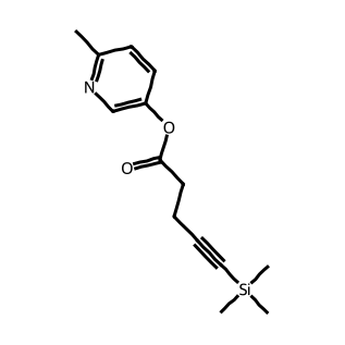 Cc1ccc(OC(=O)CCC#C[Si](C)(C)C)cn1